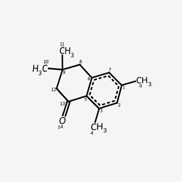 Cc1cc(C)c2c(c1)CC(C)(C)CC2=O